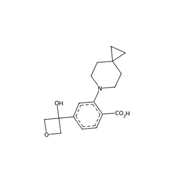 O=C(O)c1ccc(C2(O)COC2)cc1N1CCC2(CC1)CC2